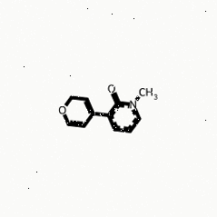 Cn1cccc(C2=CCOC=C2)c1=O